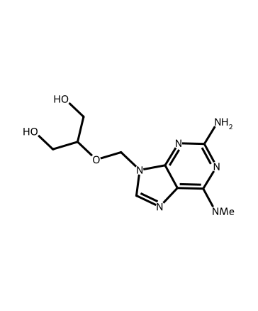 CNc1nc(N)nc2c1ncn2COC(CO)CO